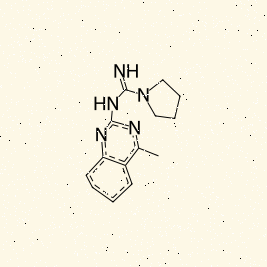 Cc1nc(NC(=N)N2CCCC2)nc2ccccc12